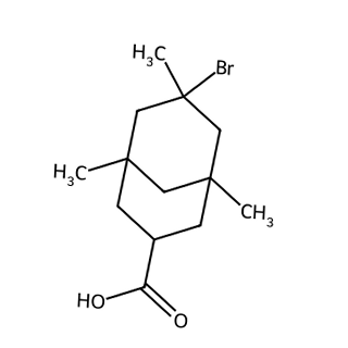 CC1(Br)CC2(C)CC(C(=O)O)CC(C)(C1)C2